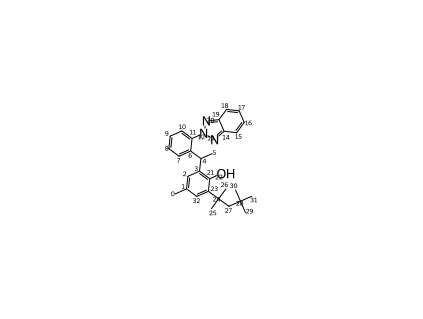 Cc1cc(C(C)c2ccccc2-n2nc3ccccc3n2)c(O)c(C(C)(C)CC(C)(C)C)c1